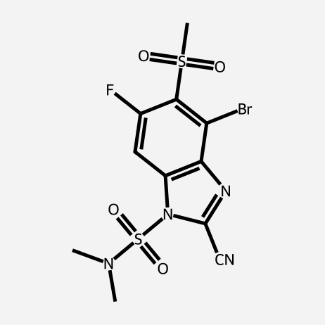 CN(C)S(=O)(=O)n1c(C#N)nc2c(Br)c(S(C)(=O)=O)c(F)cc21